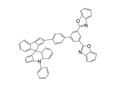 C1=CC2C(C=C1)C1(c3ccccc3-c3ccc(-c4ccc(-c5cc(-c6nc7ccccc7o6)cc(-c6nc7ccccc7o6)c5)cc4)cc31)c1ccccc1N2c1ccccc1